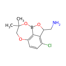 CC1(C)COc2ccc(Cl)c3c2B(OC3CN)O1